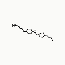 CCCC[C@H]1CC[C@H](COC2CCC(CCC=CC#N)CC2)CC1